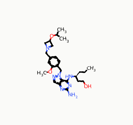 CCC[C@@H](CCO)Nc1nc(N)nc2cnn(Cc3ccc(CN4CC(OC(C)C)C4)cc3OC)c12